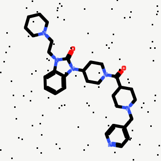 O=C(C1CCN(Cc2ccncc2)CC1)N1CCC(n2c(=O)n(CCN3CCCCC3)c3ccccc32)CC1